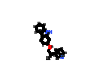 CCC(COc1ccc2c(c1)[nH]c1ccccc12)=C1CN2CCC1CC2